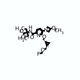 CCC(CC)(NC(=O)c1ccc(N2CC(OC)C2)c(OC[C@@H]2C[C@H]2COCF)n1)C(=O)O